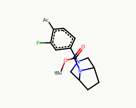 CC(=O)c1ccc(N2CC3CCC(C2)N3C(=O)OC(C)(C)C)cc1F